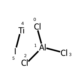 [Cl][Al]([Cl])[Cl].[Ti][I]